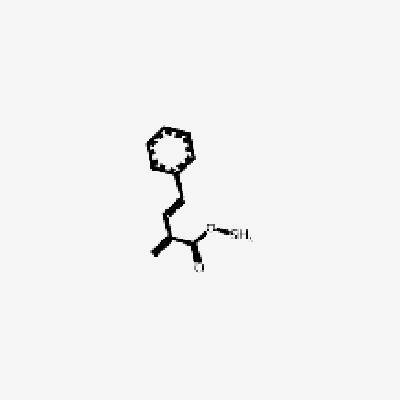 C=C(C=Cc1ccccc1)C(=O)O[SiH3]